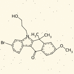 COc1ccc2c(c1)C(C)(C)c1c(c3ccc(Br)cc3n1CCCO)C2=O